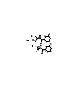 CC1CCCC(C(=O)NC(N)=O)C1.CC1CCCC(C(=O)NC(N)=O)C1.CCCCCC